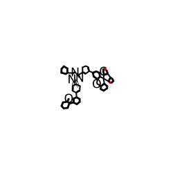 C1=C[C@H](c2nc(C3=CC(c4ccc5c(c4)Oc4ccccc4C54c5ccccc5-c5ccccc54)=CCC3)nc(-c3ccccc3)n2)CC=C1c1cccc2c1oc1ccccc12